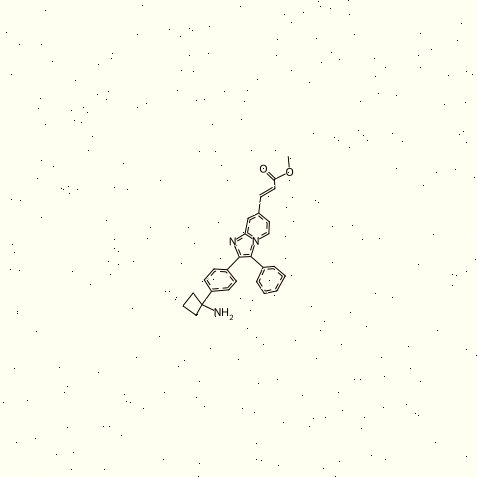 COC(=O)/C=C/c1ccn2c(-c3ccccc3)c(-c3ccc(C4(N)CCC4)cc3)nc2c1